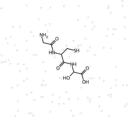 NCC(=O)NC(CS)C(=O)NC(O)C(=O)O